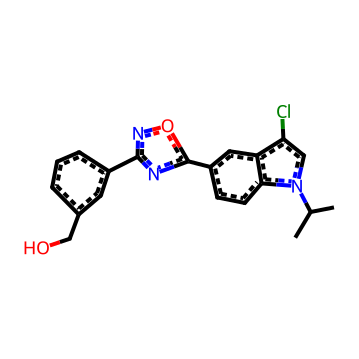 CC(C)n1cc(Cl)c2cc(-c3nc(-c4cccc(CO)c4)no3)ccc21